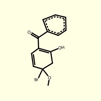 COC1(Br)C=CC(C(=O)c2ccccc2)=C(O)C1